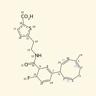 CC1=C/C/C=C\C(C2=CC(C(=O)NCCc3ccc(C(=O)O)s3)C(F)C=C2)/C=C\1